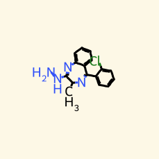 CC1N=C(c2ccccc2Cl)c2ccccc2N=C1NN